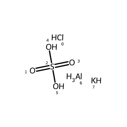 Cl.O=S(=O)(O)O.[AlH3].[KH]